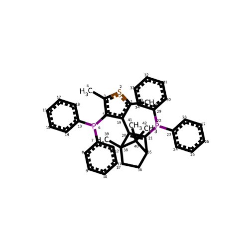 Cc1sc(C)c(P(c2ccccc2)c2ccccc2)c1C1=C(P(c2ccccc2)c2ccccc2)C2CCC1(C)C2(C)C